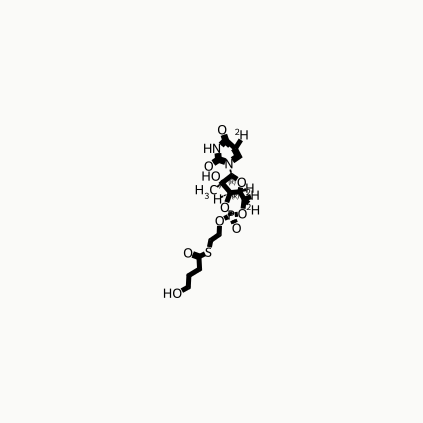 [2H]c1cn([C@@H]2O[C@H]3[C@@H](OP(=O)(OCCSC(=O)CCCO)OC3([2H])[2H])[C@@]2(C)O)c(=O)[nH]c1=O